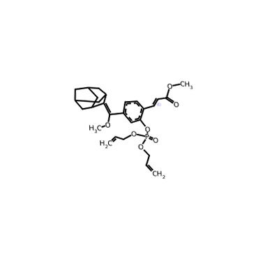 C=CCOP(=O)(OCC=C)Oc1cc(C(OC)=C2C3CC4CC(C3)CC2C4)ccc1/C=C/C(=O)OC